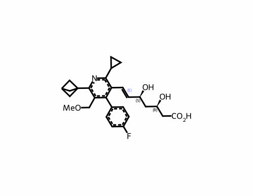 COCc1c(C23CC(C2)C3)nc(C2CC2)c(/C=C/[C@@H](O)C[C@@H](O)CC(=O)O)c1-c1ccc(F)cc1